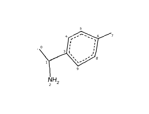 [CH2]C(N)c1ccc(C)cc1